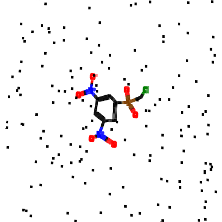 O=[N+]([O-])c1cc([N+](=O)[O-])cc(S(=O)(=O)CCl)c1